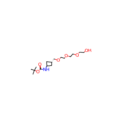 CC(C)(C)OC(=O)N[C@H]1C[C@H](COCCOCCOCCO)C1